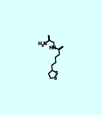 C=C(N)CNC(=C)CCCCC1CCSS1